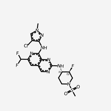 Cn1cc(Cl)c(Nc2nc(C(F)F)cc3cnc(N[C@H]4CCN(S(C)(=O)=O)C[C@@H]4F)nc23)n1